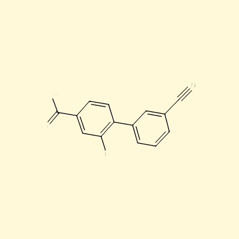 N#Cc1cccc(-c2ccc(C(=O)O)cc2F)c1